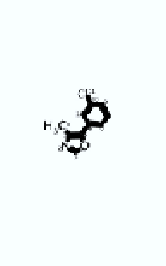 Cc1n[c]oc1-c1cccc(Cl)c1